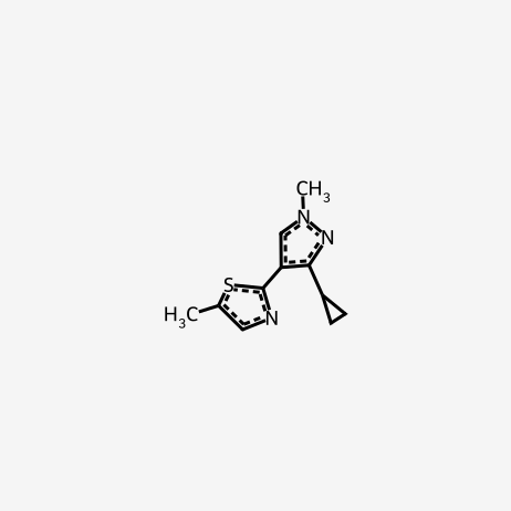 Cc1cnc(-c2cn(C)nc2C2CC2)s1